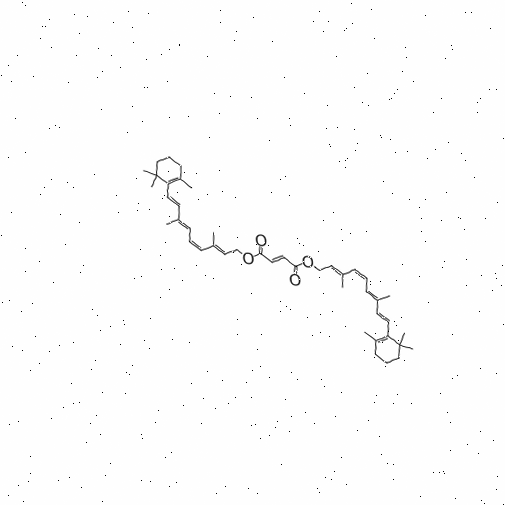 CC1=C(/C=C/C(C)=C/C=C\C(C)=C\COC(=O)/C=C/C(=O)OC/C=C(C)/C=C\C=C(C)\C=C\C2=C(C)CCCC2(C)C)C(C)(C)CCC1